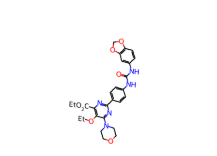 CCOC(=O)c1nc(-c2ccc(NC(=O)Nc3ccc4c(c3)OCO4)cc2)nc(N2CCOCC2)c1OCC